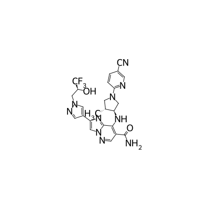 C[C@@H]1CN(c2ccc(C#N)cn2)C[C@H]1Nc1c(C(N)=O)cnn2cc(-c3cnn(C[C@H](O)C(F)(F)F)c3)nc12